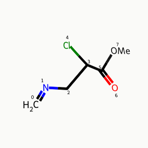 C=NCC(Cl)C(=O)OC